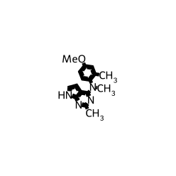 COc1ccc(N(C)c2nc(C)nc3[nH]ccc23)c(C)c1